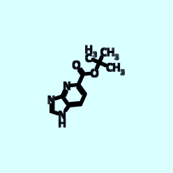 CC(C)(C)OC(=O)c1ccc2[nH]cnc2n1